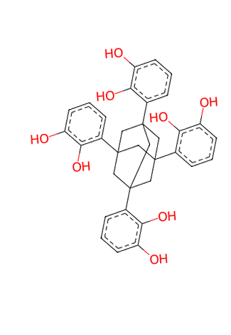 Oc1cccc(C23CC4(c5cccc(O)c5O)CC(c5cccc(O)c5O)(C2)CC(c2cccc(O)c2O)(C3)C4)c1O